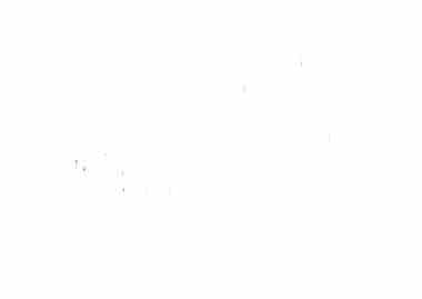 CCCc1cc(Oc2ccccc2)ccc1OCCc1ccc(S(=O)(=O)Nc2ccccc2C(=O)O)cc1